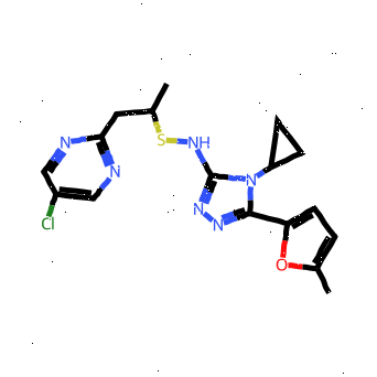 Cc1ccc(-c2nnc(NSC(C)Cc3ncc(Cl)cn3)n2C2CC2)o1